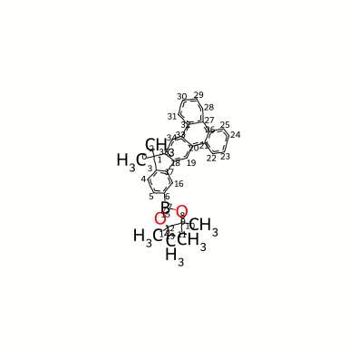 CC1(C)c2ccc(B3OC(C)(C)C(C)(C)O3)cc2-c2cc3c4ccccc4c4ccccc4c3cc21